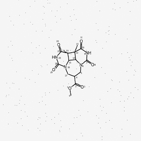 COC(=O)C1CN2C(=O)NC(=O)C3(C)C2C2N(C1)C(=O)NC(=O)C23C